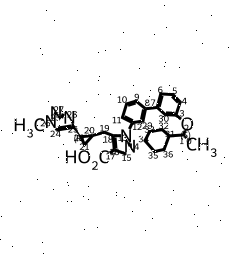 C[C@H](Oc1cccc(-c2cccc(-n3ncc(C(=O)O)c3CC3C[C@H]3c3cn(C)nn3)c2)c1)C1CCCCC1